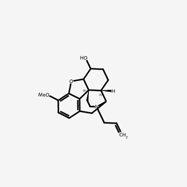 C=CCN1CC[C@@]23c4c5ccc(OC)c4OC2C(O)CC[C@@H]3C1C5